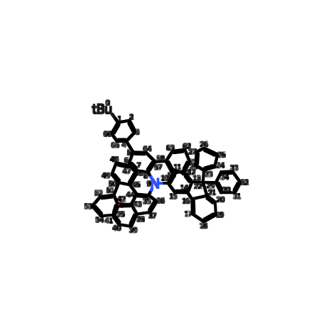 CC(C)(C)c1ccc(-c2ccc(N(c3ccc4c(c3)-c3ccccc3C4(c3ccccc3)c3ccccc3)c3ccc4ccccc4c3-c3ccccc3-c3ccccc3)c(-c3ccccc3)c2)cc1